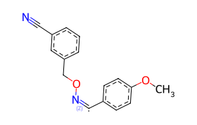 COc1ccc(/[C]=N\OCc2cccc(C#N)c2)cc1